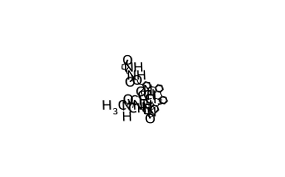 CNC(=O)C(C)(C)NCc1cc(=O)n2ccc(-c3cccc(-c4cccc(-c5ccc(COC(=O)NCC6CCC(=O)N6)c(OC)n5)c4Cl)c3Cl)cc2n1